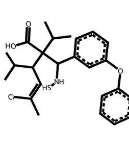 CC(Cl)=CC(C(C)C)C(C(=O)O)(C(C)C)C(NS)c1cccc(Oc2ccccc2)c1